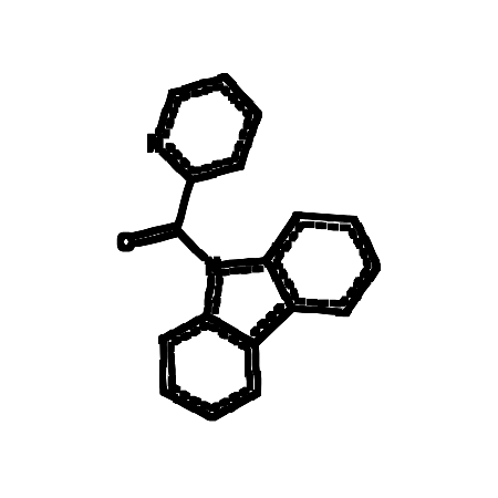 O=C(c1ccccn1)n1c2ccccc2c2ccccc21